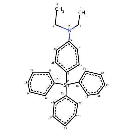 CCN(CC)c1cc[c]([Sn]([c]2ccccc2)([c]2ccccc2)[c]2ccccc2)cc1